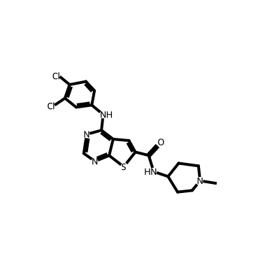 CN1CCC(NC(=O)c2cc3c(Nc4ccc(Cl)c(Cl)c4)ncnc3s2)CC1